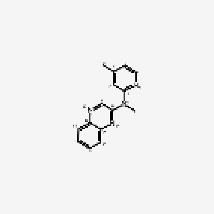 Cc1ccnc(N(C)c2cnc3ccccc3n2)c1